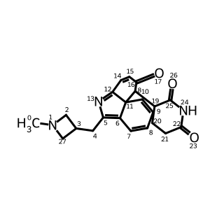 CN1CC(CC2=C3C=CC=CC34C(=N2)C=CC(=O)C4C2CCC(=O)NC2=O)C1